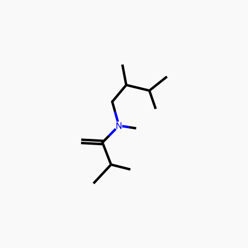 C=C(C(C)C)N(C)CC(C)C(C)C